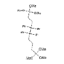 CO[Si](CCCC(C(C)C)(C(C)C)C(CC[Si](OC)(OC)OC)(C(C)C)C(C)C)(OC)OC